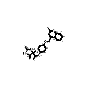 Cc1cc(COc2ccc(SC(C)C3(C)NC(=O)NC3=O)cc2)c2ccccc2n1